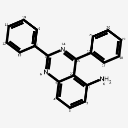 Nc1cccc2nc(-c3ccccc3)nc(-c3ccccc3)c12